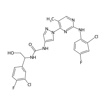 Cc1cnc(Nc2ccc(F)cc2Cl)nc1-n1cc(NC(=O)NC(CO)c2ccc(F)c(Cl)c2)cn1